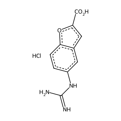 Cl.N=C(N)Nc1ccc2oc(C(=O)O)cc2c1